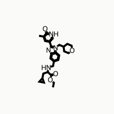 CCOC(=O)C(CC1CC1)NCc1ccc2c(c1)nc(-c1c[nH]c(=O)c(C)c1)n2CC1CCOCC1